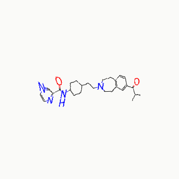 CC(C)C(=O)c1ccc2c(c1)CCN(CCC1CCC(NC(=O)c3cnccn3)CC1)CC2